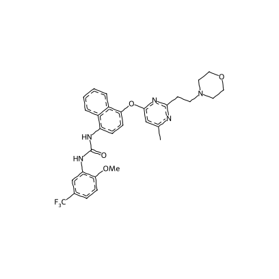 COc1ccc(C(F)(F)F)cc1NC(=O)Nc1ccc(Oc2cc(C)nc(CCN3CCOCC3)n2)c2ccccc12